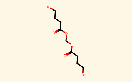 O=C(CCCO)OCOC(=O)CCCO